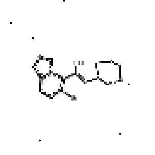 O/C(=C\C1CCCCC1)c1c(Br)ccc2cncn12